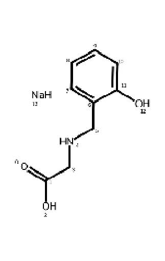 O=C(O)CNCc1ccccc1O.[NaH]